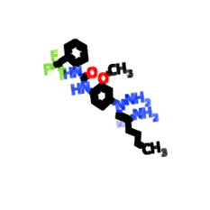 CCCC/C(N)=C/N(N)c1ccc(NC(=O)Nc2ccccc2C(F)(F)F)c(OC)c1